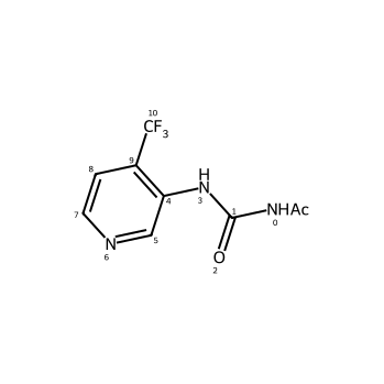 [CH2]C(=O)NC(=O)Nc1cnccc1C(F)(F)F